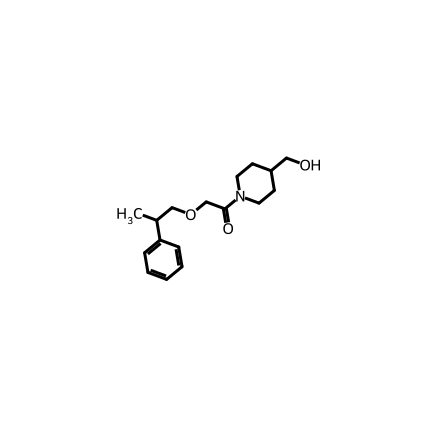 CC(COCC(=O)N1CCC(CO)CC1)c1ccccc1